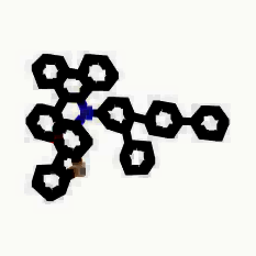 c1ccc(-c2ccc(-c3ccc(N(c4ccc5c(c4)sc4ccccc45)c4c(-c5ccccc5)c5ccccc5c5ccccc45)cc3-c3ccccc3)cc2)cc1